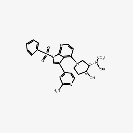 CC(C)(C)N(C(=O)O)[C@H]1CN(c2ccnc3c2c(-c2ccnc(N)n2)cn3S(=O)(=O)c2ccccc2)CC[C@@H]1O